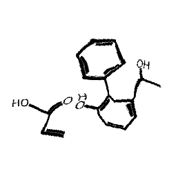 C=CC(=O)O.CC(O)c1cccc(O)c1-c1ccccc1